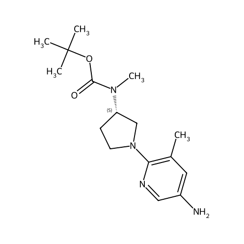 Cc1cc(N)cnc1N1CC[C@H](N(C)C(=O)OC(C)(C)C)C1